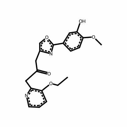 CCOc1cccnc1CC(=O)Cc1coc(-c2ccc(OC)c(O)c2)n1